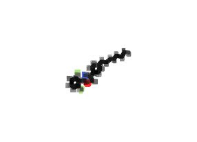 CCCCCCCCc1ccc(C2COC(c3c(F)cccc3F)=N2)cc1